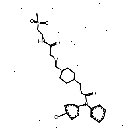 CS(=O)(=O)CCNC(=O)COC[C@H]1CC[C@@H](COC(=O)N(c2ccccc2)c2ccc(Cl)cc2)CC1